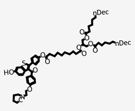 CCCCCCCCCCCCCCCC(=O)OCC(COC(=O)CCCCCCCCCCCCCCC)OC(=O)CCCCCCCCC(=O)Oc1ccc(-c2sc3cc(O)ccc3c2C(=O)c2ccc(OCCN3CCCCC3)cc2)cc1